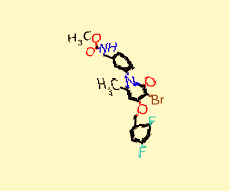 COC(=O)NCc1cccc(-n2c(C)cc(OCc3ccc(F)cc3F)c(Br)c2=O)c1